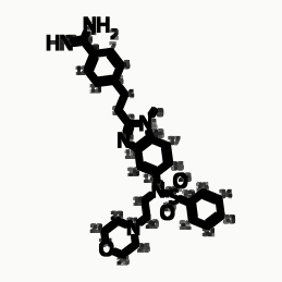 Cn1c(CCc2ccc(C(=N)N)cc2)nc2cc(N(CCN3CCOCC3)S(=O)(=O)c3ccccc3)ccc21